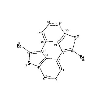 Brc1sc2cccc3c4c(Br)sc5cccc(c1c23)c54